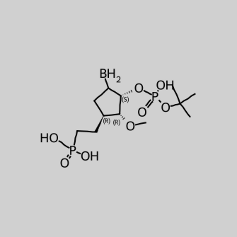 BC1C[C@H](CCP(=O)(O)O)[C@@H](OC)[C@H]1OP(=O)(O)OC(C)(C)C